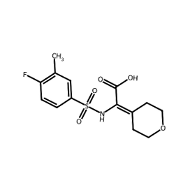 Cc1cc(S(=O)(=O)NC(C(=O)O)=C2CCOCC2)ccc1F